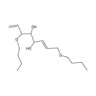 C=CC(OCCCC)C(O)C(O)C=CCOCCCC